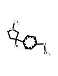 COc1ccc(C2(O)CCN(C)C2)cc1